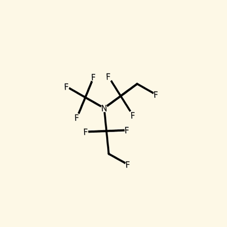 FCC(F)(F)N(C(F)(F)F)C(F)(F)CF